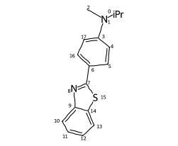 CC(C)N(C)c1ccc(-c2nc3ccccc3s2)cc1